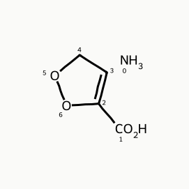 N.O=C(O)C1=CCOO1